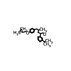 CC(Cc1ccc(OCCN(C)C)cc1)CC(C=O)c1cccc(C(C)C)c1